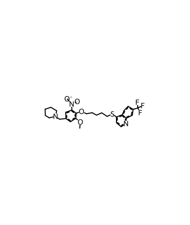 COc1cc(CN2CCCCC2)cc([N+](=O)[O-])c1OCCCCCSc1ccnc2cc(C(F)(F)F)ccc12